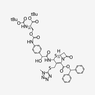 Cn1nnnc1SCC1=C(C(=O)OC(c2ccccc2)c2ccccc2)N2C(=O)C[C@@H]2SC1NC(=O)C(O)c1ccc(NC(=O)OC[C@@H](NC(=O)OC(C)(C)C)C(=O)OC(C)(C)C)cc1